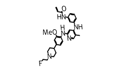 C=CC(=O)Nc1cccc(Nc2cc(Nc3ccc(C4CCN(CCF)CC4)cc3OC)ncc2C)c1